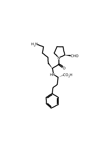 NCCCC[C@H](N[C@@H](CCc1ccccc1)C(=O)O)C(=O)N1CCC[C@H]1C=O